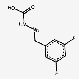 O=C(O)NNCc1cc(F)cc(F)c1